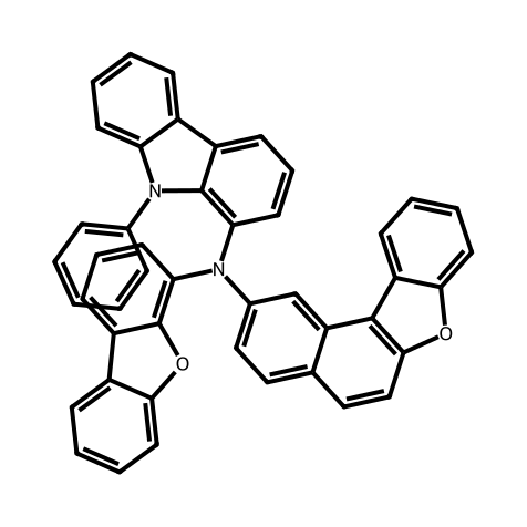 c1ccc(-n2c3ccccc3c3cccc(N(c4ccc5ccc6oc7ccccc7c6c5c4)c4cccc5c4oc4ccccc45)c32)cc1